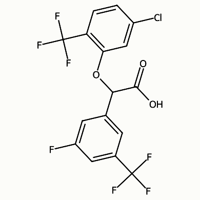 O=C(O)C(Oc1cc(Cl)ccc1C(F)(F)F)c1cc(F)cc(C(F)(F)F)c1